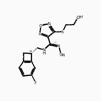 OCCSc1nonc1/C(=N/O)NC[C@H]1Cc2ccc(F)cc21